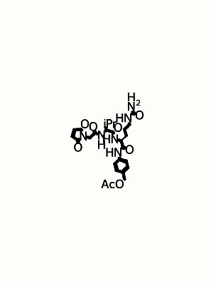 CC(=O)OCc1ccc(NC(=O)[C@H](CCCNC(N)=O)NC(=O)C(NC(=O)CN2C(=O)C=CC2=O)C(C)C)cc1